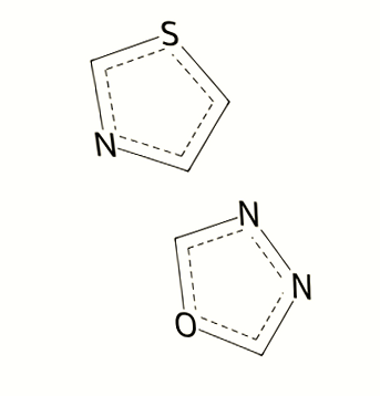 c1cscn1.c1nnco1